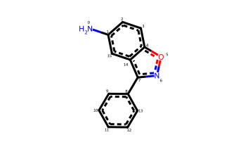 Nc1ccc2onc(-c3ccccc3)c2c1